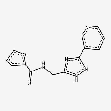 O=C(NCc1nc(-c2cccnc2)n[nH]1)c1ccco1